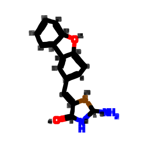 NC1NC(=O)/C(=C/c2ccc3oc4ccccc4c3c2)S1